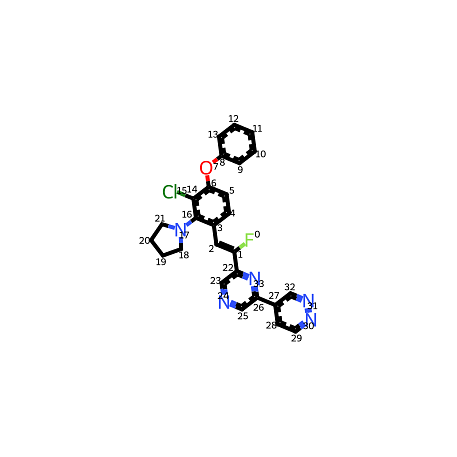 F/C(=C\c1ccc(Oc2ccccc2)c(Cl)c1N1CCCC1)c1cncc(-c2ccnnc2)n1